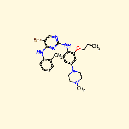 CCCOc1cc(N2CCN(C)CC2)ccc1Nc1ncc(Br)c(Nc2ccccc2C)n1